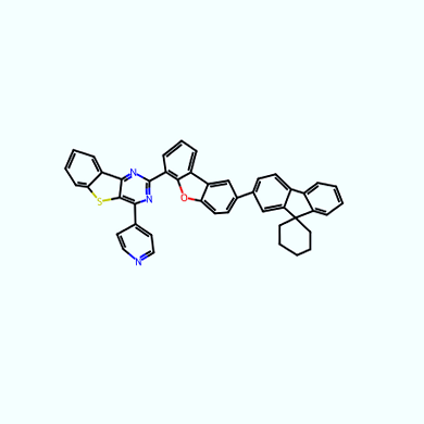 c1ccc2c(c1)-c1ccc(-c3ccc4oc5c(-c6nc(-c7ccncc7)c7sc8ccccc8c7n6)cccc5c4c3)cc1C21CCCCC1